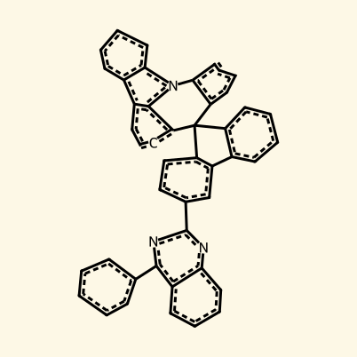 c1ccc(-c2nc(-c3ccc4c(c3)-c3ccccc3C43c4ccccc4-n4c5ccccc5c5cccc3c54)nc3ccccc23)cc1